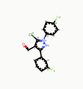 O=Cc1c(-c2cccc(F)c2)nn(-c2ccc(F)cc2)c1Cl